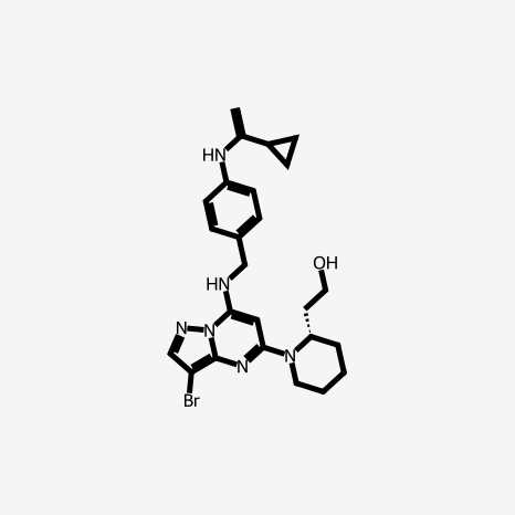 C=C(Nc1ccc(CNc2cc(N3CCCC[C@H]3CCO)nc3c(Br)cnn23)cc1)C1CC1